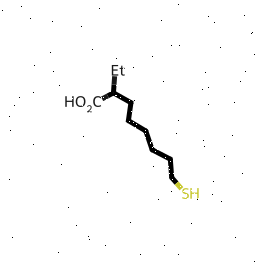 CCC(CCCCCCS)C(=O)O